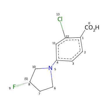 O=C(O)c1ccc(N2CC[C@H](F)C2)cc1Cl